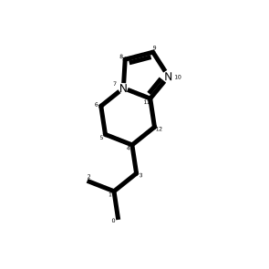 CC(C)CC1CCn2ccnc2C1